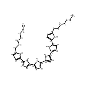 CCOCCOCCc1ccc(-c2ccc(-c3ccc(-c4ccc(-c5ccc(-c6ccc(CCOCCOCC)s6)s5)s4)s3)s2)s1